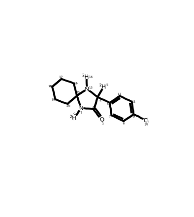 [2H]N1C(=O)C([2H])(c2ccc(Cl)cc2)N([2H])C12CCCCC2